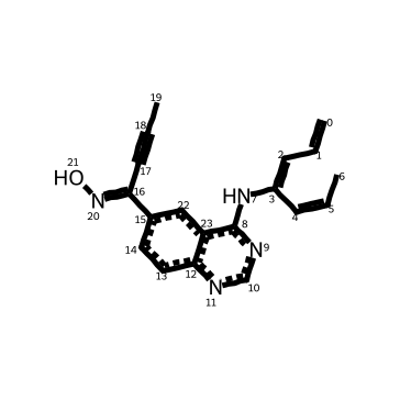 C=C/C=C(\C=C/C)Nc1ncnc2ccc(/C(C#CC)=N/O)cc12